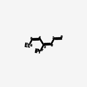 C=C/C=C(\C=C/CC)C(C)C